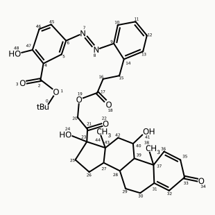 CC(C)(C)OC(=O)c1cc(/N=N/c2ccccc2CCC(=O)OCC(=O)C2(O)CCC3C4CCC5=CC(=O)C=CC5(C)C4C(O)CC32C)ccc1O